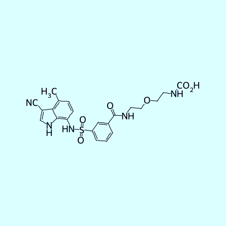 Cc1ccc(NS(=O)(=O)c2cccc(C(=O)NCCOCCNC(=O)O)c2)c2[nH]cc(C#N)c12